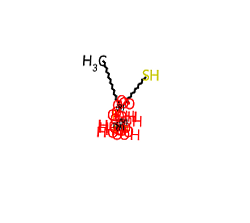 CCCCCCCCCCCCCCCC(=O)O[C@H](COC(=O)CCCCCCCCCCS)COP(=O)(O)OC1C(O)[C@@H](O)C(OP(=O)(O)O)[C@@H](OP(=O)(O)O)[C@H]1O